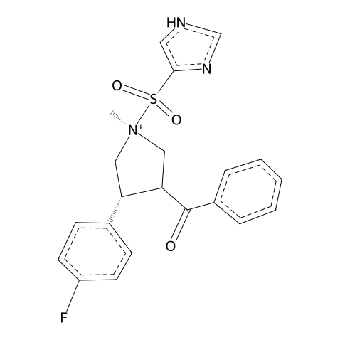 C[N@+]1(S(=O)(=O)c2c[nH]cn2)CC(C(=O)c2ccccc2)[C@H](c2ccc(F)cc2)C1